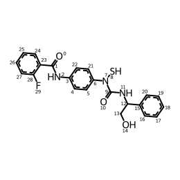 O=C(Nc1ccc(N(S)C(=O)NC(CO)c2ccccc2)cc1)c1ccccc1F